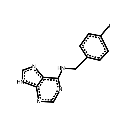 Ic1ccc(CNc2ncnc3[nH]cnc23)cc1